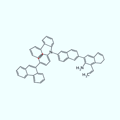 C=Cc1c(N)c(-c2ccc3cc(N(c4ccc(-c5cc6ccccc6c6ccccc56)cc4)c4ccccc4-c4ccccc4)ccc3c2)cc2c1CCC=C2